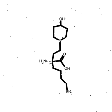 BCCCC[C@@](N)(CCN1CCC(O)CC1)C(=O)O